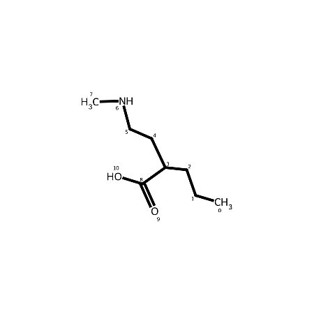 CCCC(CCNC)C(=O)O